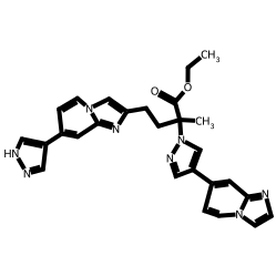 CCOC(=O)C(C)(CCc1cn2ccc(-c3cn[nH]c3)cc2n1)n1cc(-c2ccn3ccnc3c2)cn1